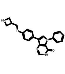 O=c1[nH]cnc2c(-c3ccc(OCC4CNC4)cc3)cn(-c3ccccc3)c12